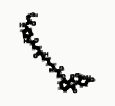 CC(C)(C)OC(=O)Nc1ccc(NC(=O)/C=C/C(=O)NCCCCNC(=O)COc2cccc3c2C(=O)N(C2CCC(=O)NC2=O)C3=O)cc1